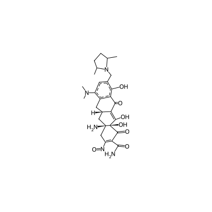 CC1CCC(C)N1Cc1cc(N(C)C)c2c(c1O)C(=O)C1=C(O)[C@]3(O)C(=O)C(C(N)=O)=C(N=O)C[C@]3(N)C[C@@H]1C2